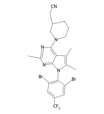 Cc1nc(N2CCCC(CC#N)C2)c2c(C)c(C)n(-c3c(Br)cc(C(F)(F)F)cc3Br)c2n1